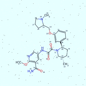 COc1ncc(NC(=O)C(=O)N2C[C@@H](C)CC[C@@H]2c2cccc(OCC3CCCN3C)c2)cc1C(N)=O